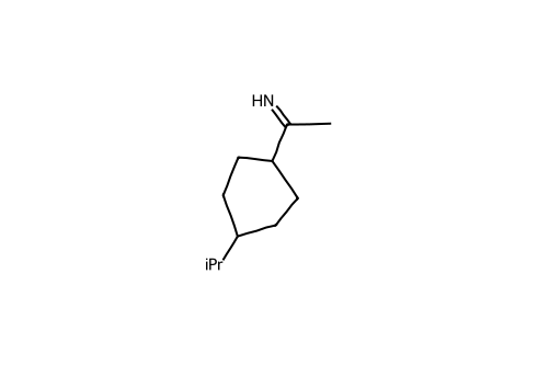 CC(=N)C1CCC(C(C)C)CC1